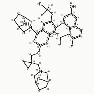 CCc1c(F)ccc2cc(O)cc(-c3c(SC(F)(F)F)cc4c(N5CC6CCC(C5)N6)nc(OCC5(CN6CC7CCC(C6)O7)CC5)nc4c3F)c12